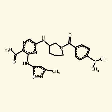 Cc1cc(Nc2nc(NC3CCCN(C(=O)c4ccc(N(C)C)cc4)C3)cnc2C(N)=O)sn1